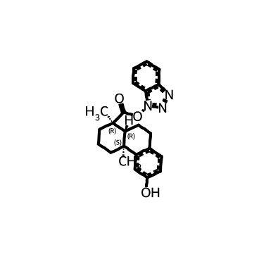 C[C@@]1(C(=O)On2nnc3ccccc32)CCC[C@]2(C)c3cc(O)ccc3CC[C@@H]12